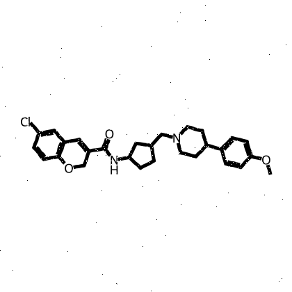 COc1ccc(C2CCN(CC3CCC(NC(=O)C4=Cc5cc(Cl)ccc5OC4)C3)CC2)cc1